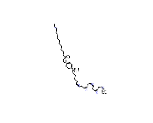 C/C=C/CCCCCCCCCC(=O)OC1=CC=C(NCCCC/C=C\C/C=C\C/C=C\C/C=C\C/C=C\CC)CC1